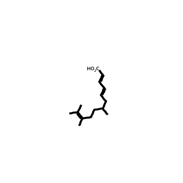 CC(C)=C(C)CCC(C)CC=CC=CC(=O)O